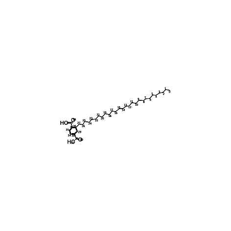 CCCCCCCCCCCCCCCCCCCCCCCCCCCCc1cc(C(=O)O)ccc1C(=O)O